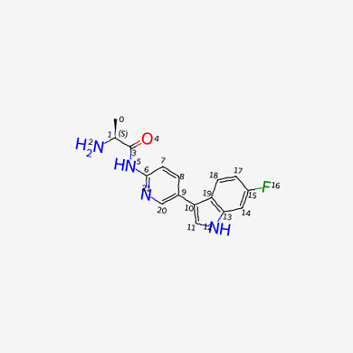 C[C@H](N)C(=O)Nc1ccc(-c2c[nH]c3cc(F)ccc23)cn1